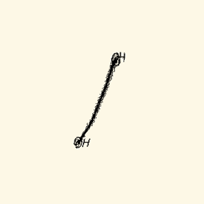 O=C(O)CCCCCCCCCCCCCCCCCCCCCCCCCCCCCCCCCCCCCCCCCCCCC(=O)O